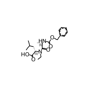 CCN(C(=O)[C@H](C)NC(=O)OCc1ccccc1)[C@@H](CC(C)C)C(=O)O